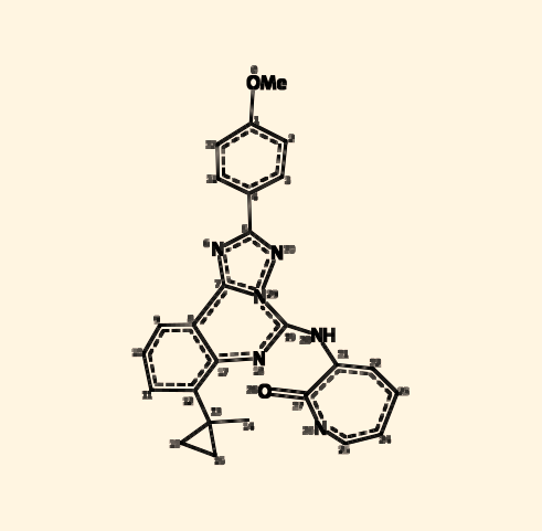 COc1ccc(-c2nc3c4cccc(C5(C)CC5)c4nc(Nc4ccccnc4=O)n3n2)cc1